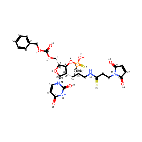 COP(O)(=S)OC1[C@@H](COC(=O)OCc2ccccc2)O[C@@H](n2ccc(=O)[nH]c2=O)[C@H]1CCCNC(=S)CCN1C(=O)C=CC1=O